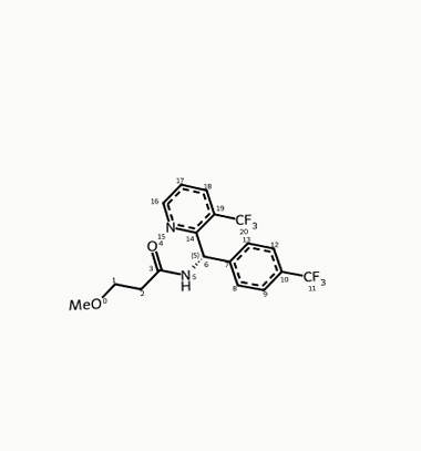 COCCC(=O)N[C@@H](c1ccc(C(F)(F)F)cc1)c1ncccc1C(F)(F)F